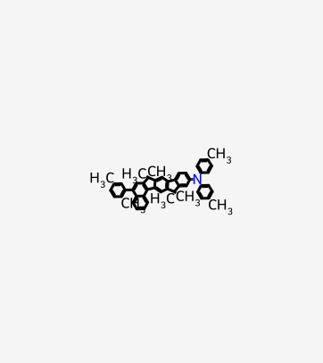 Cc1ccc(N(c2ccc(C)cc2)c2ccc3c(c2)C(C)(C)c2cc4c(cc2-3)C(C)(C)c2cc(-c3cc(C)ccc3C)c3ccccc3c2-4)cc1